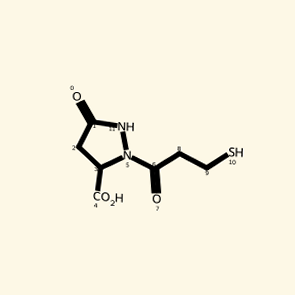 O=C1CC(C(=O)O)N(C(=O)CCS)N1